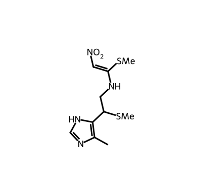 CSC(=C[N+](=O)[O-])NCC(SC)c1[nH]cnc1C